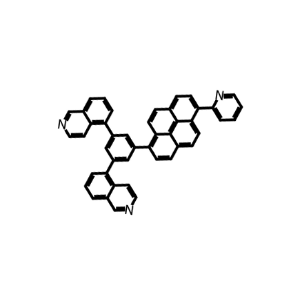 c1ccc(-c2ccc3ccc4c(-c5cc(-c6cccc7cnccc67)cc(-c6cccc7cnccc67)c5)ccc5ccc2c3c54)nc1